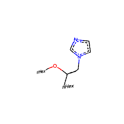 CCCCCCOC(CCCCCC)Cn1ccnc1